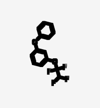 FC(F)C(F)(F)Oc1cccc(Oc2ccccc2)c1